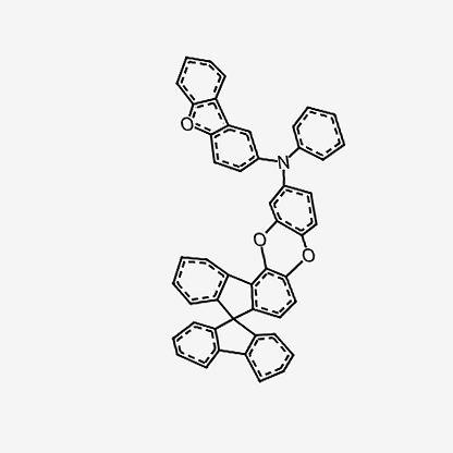 c1ccc(N(c2ccc3c(c2)Oc2c(ccc4c2-c2ccccc2C42c4ccccc4-c4ccccc42)O3)c2ccc3oc4ccccc4c3c2)cc1